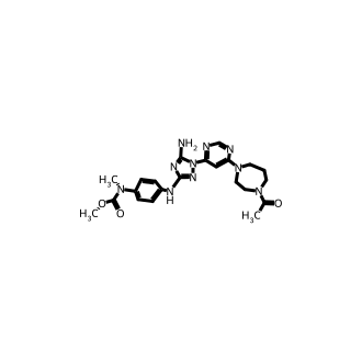 COC(=O)N(C)c1ccc(Nc2nc(N)n(-c3cc(N4CCCN(C(C)=O)CC4)ncn3)n2)cc1